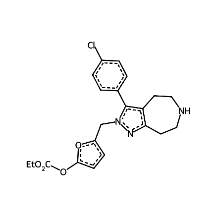 CCOC(=O)Oc1ccc(Cn2nc3c(c2-c2ccc(Cl)cc2)CCNCC3)o1